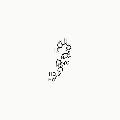 Cc1ccnc(Nc2ncc(Sc3ccnc(C(=O)NCC4(c5ccccn5)CCN(CC(O)CO)CC4)c3F)s2)c1